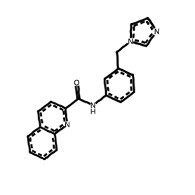 O=C(Nc1cccc(Cn2ccnc2)c1)c1ccc2ccccc2n1